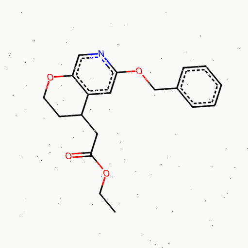 CCOC(=O)CC1CCOc2cnc(OCc3ccccc3)cc21